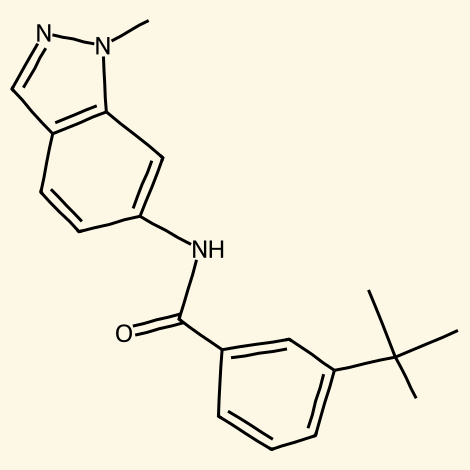 Cn1ncc2ccc(NC(=O)c3cccc(C(C)(C)C)c3)cc21